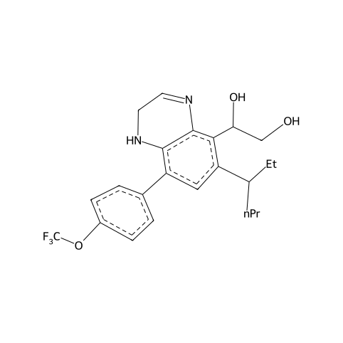 CCCC(CC)c1cc(-c2ccc(OC(F)(F)F)cc2)c2c(c1C(O)CO)N=CCN2